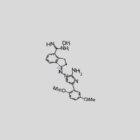 COc1ccc(OC)c(-c2cn(/N=C3\CCc4c(C(=N)NO)cccc43)c(N)n2)c1